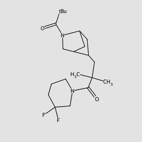 CC(C)(C)C(=O)N1CC2CC1CC2CC(C)(C)C(=O)N1CCCC(F)(F)C1